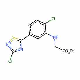 CCOC(=O)CNc1cc(-c2nc(Cl)ns2)ccc1Cl